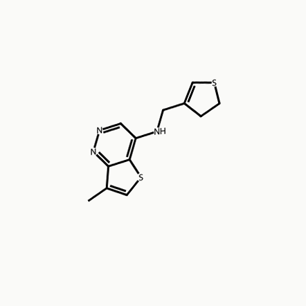 Cc1csc2c(NCC3=CSCC3)cnnc12